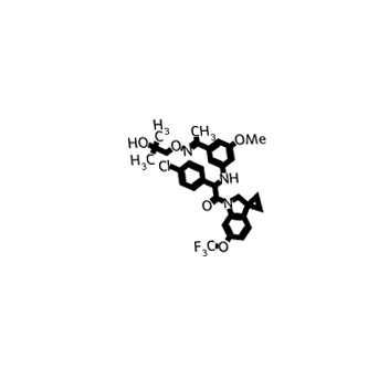 COc1cc(NC(C(=O)N2CC3(CC3)c3ccc(OC(F)(F)F)cc32)c2ccc(Cl)cc2)cc(C(C)=NOCC(C)(C)O)c1